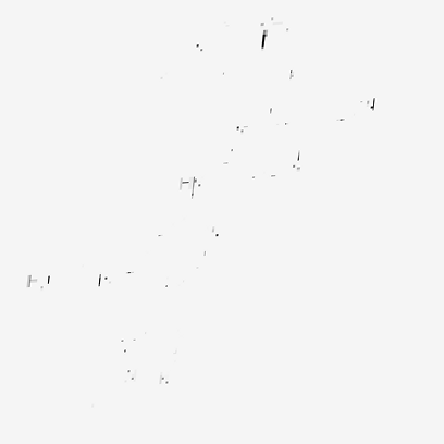 CCNc1cc(Nc2cnc(C#N)c(O[C@H](C)CN(C)C)n2)ncc1-c1cnn(C)c1